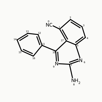 N#Cc1cccc2nc(N)nc(-c3ccccc3)c12